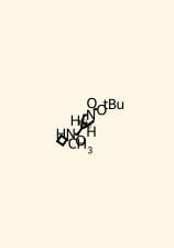 CC1(NC(=O)C2[C@H]3CN(C(=O)OC(C)(C)C)C[C@@H]23)CCC1